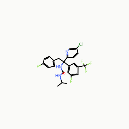 CC(C)NC(=O)NC(Cc1ccc(F)cc1)(c1cc(F)cc(C(F)(F)F)c1)c1ccc(Cl)cn1